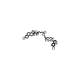 CCN(CCCC(C)Nc1ccnc2cc(Cl)ccc12)CCOC(=O)CCCC(=O)OC1(C)CCC2C3CCC4=CC(=O)CCC4C3CCC21CC